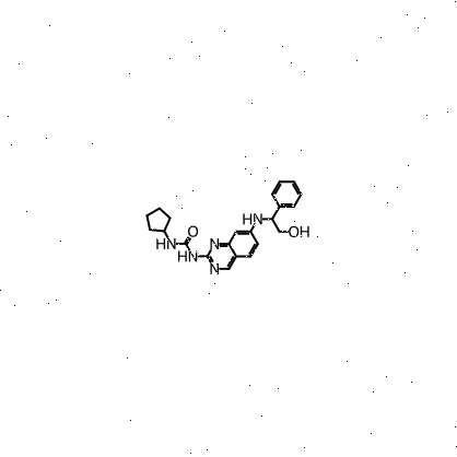 O=C(Nc1ncc2ccc(NC(CO)c3ccccc3)cc2n1)NC1CCCC1